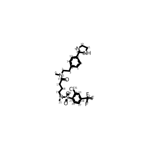 CN(CCc1ccc(C2=NCCN2)cc1)C(=O)CCCN(C)S(=O)(=O)c1ccc(C(F)(F)F)cc1Cl